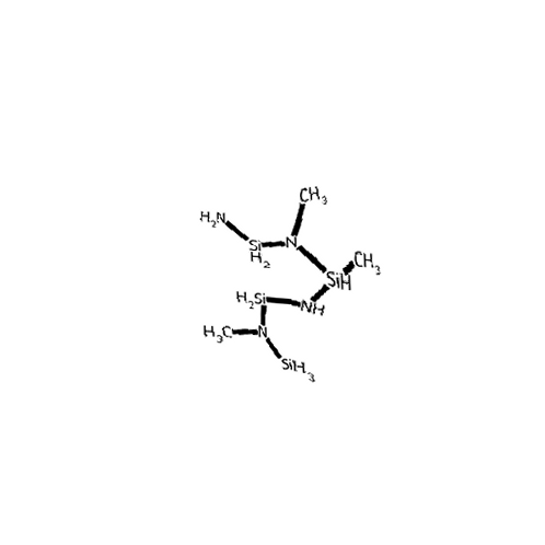 CN([SiH3])[SiH2]N[SiH](C)N(C)[SiH2]N